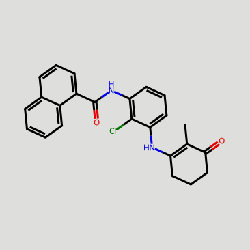 CC1=C(Nc2cccc(NC(=O)c3cccc4ccccc34)c2Cl)CCCC1=O